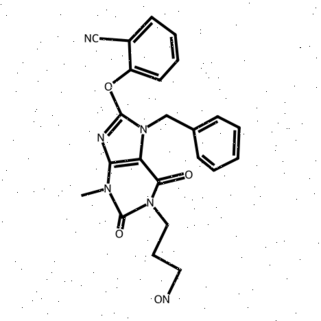 Cn1c(=O)n(CCCN=O)c(=O)c2c1nc(Oc1ccccc1C#N)n2Cc1ccccc1